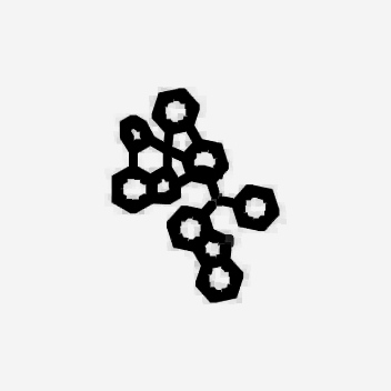 CCc1ccc2cccc3c2c1C1(c2ccccc2-c2ccc(N(c4ccccc4)c4cccc5c4oc4ccccc45)cc21)c1ccccc1-3